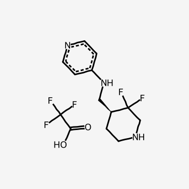 FC1(F)CNCC[C@H]1CNc1ccncc1.O=C(O)C(F)(F)F